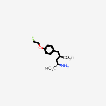 N[C@@H](CC(Cc1ccc(OCCF)cc1)C(=O)O)C(=O)O